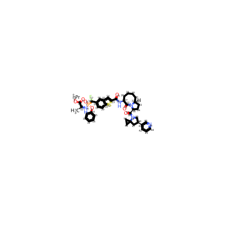 CCCOC(=O)[C@H](C)NP(=O)(Oc1ccccc1)[C@@H](F)c1ccc2sc(C(=O)N[C@H]3CCCC[C@H]4CC[C@@H](C(=O)N5C[C@@H](c6cccnc6)CC56CC6)N4C3=O)cc2c1